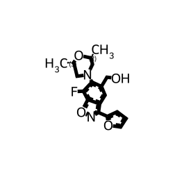 C[C@@H]1CN(c2c(CO)cc3c(-c4ccco4)noc3c2F)C[C@H](C)O1